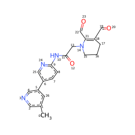 Cc1cncc(-c2ccc(NC(=O)CN3CCCC(C=O)=C3C=O)nc2)c1